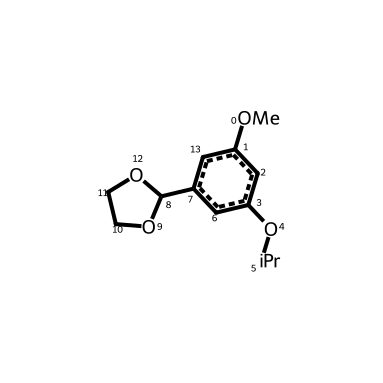 COc1cc(OC(C)C)cc(C2OCCO2)c1